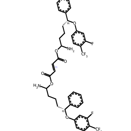 NC(CCC[C@@H](Oc1ccc(C(F)(F)F)c(F)c1)c1ccccc1)OC(=O)/C=C/C(=O)OC(N)CCC[C@@H](Oc1ccc(C(F)(F)F)c(F)c1)c1ccccc1